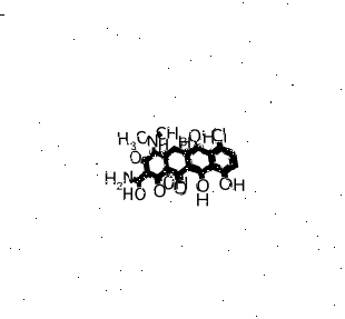 CN(C)[C@@H]1C(=O)C(=C(N)O)C(=O)[C@@]2(O)C(=O)C3=C(O)c4c(O)ccc(Cl)c4[C@@H](O)[C@H]3C[C@@H]12